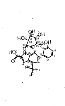 O=C(O)c1cc2c(C(F)(F)F)cc(-c3ccccc3)cc2n1O[C@H]1O[C@H](CO)[C@@H](O)[C@H](O)[C@@H]1O